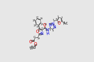 CC(=O)c1ccc(Cn2ncc(NC(=O)c3nc(CCC(=O)OC(C)(C)C)oc3-c3ccccc3)n2)o1